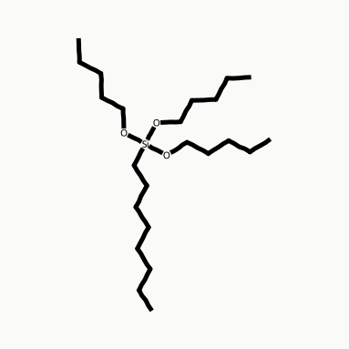 CCCCCCCC[Si](OCCCCC)(OCCCCC)OCCCCC